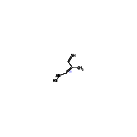 C/C(C=N)=C/NS